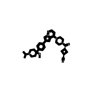 COC1(c2ccc(-c3cc4c(N5CCN(C(=O)[C@H]6C[C@H](C#N)C6)CC5)ccnn4c3)cc2)CCN(C(C)C)CC1